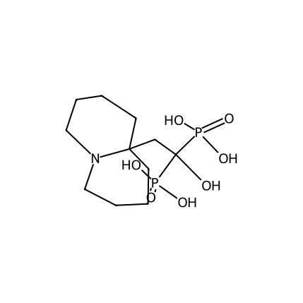 O=P(O)(O)C(O)(CC12CCCCN1CCCC2)P(=O)(O)O